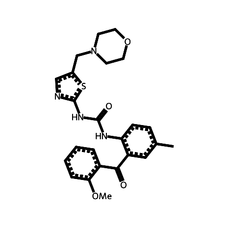 COc1ccccc1C(=O)c1cc(C)ccc1NC(=O)Nc1ncc(CN2CCOCC2)s1